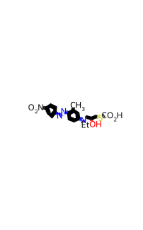 CCN(CC(O)CSC(=O)O)c1ccc(/N=N/c2ccc([N+](=O)[O-])cc2)c(C)c1